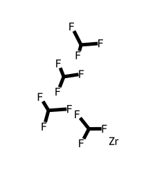 FC(F)F.FC(F)F.FC(F)F.FC(F)F.[Zr]